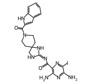 Nc1nc(N)c(C(=O)/N=C2\NCC3(CCN(C(=O)c4cc5ccccc5[nH]4)CC3)N2)nc1I